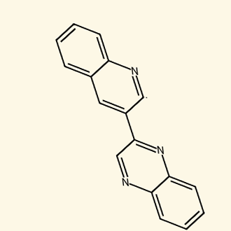 [c]1nc2ccccc2cc1-c1cnc2ccccc2n1